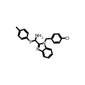 Cc1ccc(SC(N)c2nc3ccccc3n2Cc2ccc(Cl)cc2)cc1